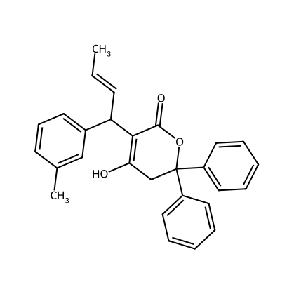 C/C=C/C(C1=C(O)CC(c2ccccc2)(c2ccccc2)OC1=O)c1cccc(C)c1